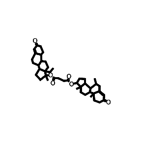 CCC12CCC3C4CCC(=O)C=C4CCC3C1CCC2(C)OC(=O)CCC(=O)OC1CCC2C3C(C)CC4=CC(=O)CCC4(C)C3CCC12C